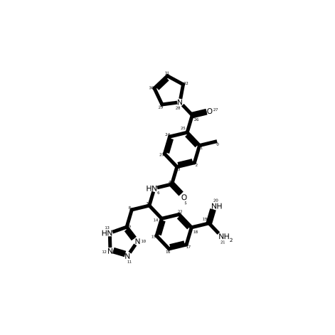 Cc1cc(C(=O)NC(Cc2nnn[nH]2)c2cccc(C(=N)N)c2)ccc1C(=O)N1CC=CC1